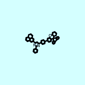 C1=CCC2C(=C1)Oc1cc(-c3ccc(-c4cc(-c5cc6c7c(cccc7c5)CC=C6)nc(-c5ccccc5)n4)cc3)ccc1C21c2ccccc2-c2ccccc21